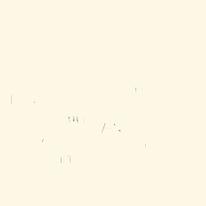 CC(C)OC(=O)N[C@H](CNC(=O)c1cc2ccccc2o1)C(C)C